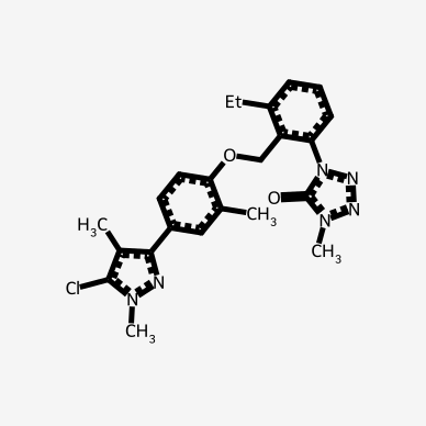 CCc1cccc(-n2nnn(C)c2=O)c1COc1ccc(-c2nn(C)c(Cl)c2C)cc1C